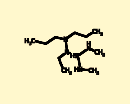 CCCN(CCC)N(CC)[SiH](NC)NC